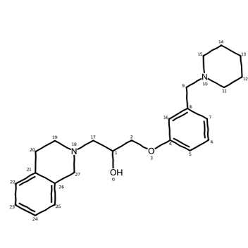 OC(COc1cccc(CN2CCCCC2)c1)CN1CCc2ccccc2C1